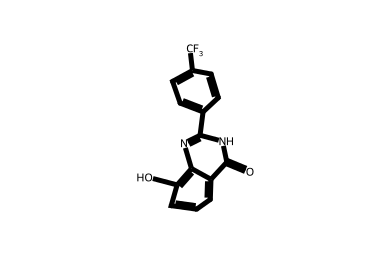 O=c1[nH]c(-c2ccc(C(F)(F)F)cc2)nc2c(O)cccc12